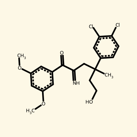 COc1cc(OC)cc(C(=O)C(=N)CC(C)(CCO)c2ccc(Cl)c(Cl)c2)c1